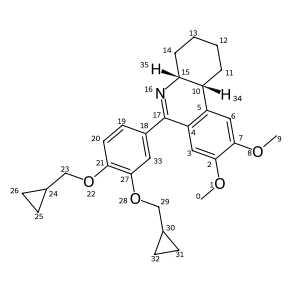 COc1cc2c(cc1OC)[C@H]1CCCC[C@H]1N=C2c1ccc(OCC2CC2)c(OCC2CC2)c1